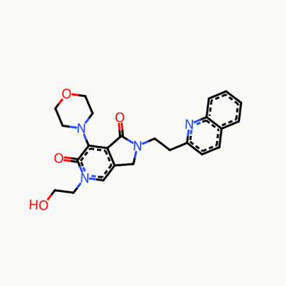 O=C1c2c(cn(CCO)c(=O)c2N2CCOCC2)CN1CCc1ccc2ccccc2n1